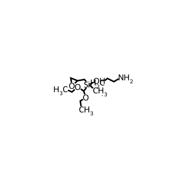 CCOC(OCC)[Si](C)(O)CC1CO1.[CH2]CCN